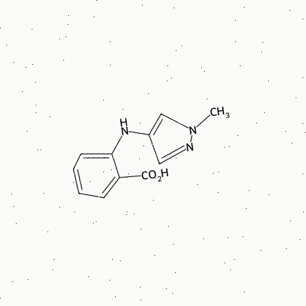 Cn1cc(Nc2ccccc2C(=O)O)cn1